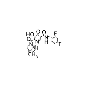 C[C@@H]1CCN2C(=O)c3c(O)c(=O)c(C(=O)NCc4ccc(F)cc4F)cn3C[C@@H]2O1